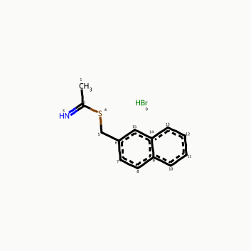 Br.CC(=N)SCc1ccc2ccccc2c1